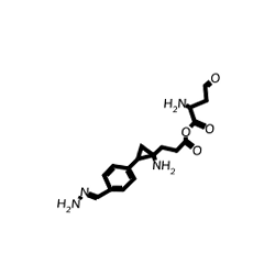 NN=Cc1ccc(C2CC2(N)CCC(=O)OC(=O)C(N)CC=O)cc1